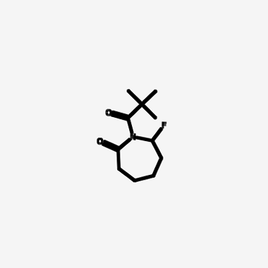 CC(C)(C)C(=O)N1C(=O)CCCCC1F